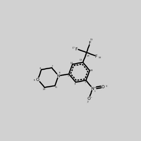 O=[N+]([O-])c1cc(N2CCOCC2)cc(C(F)(F)F)c1